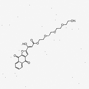 O=C(/C=C(\O)c1cc2c(o1)C(=O)c1ccccc1C2=O)OCCOCCOCCOCCO